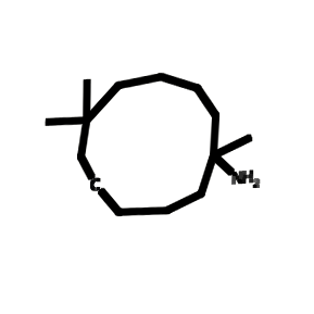 CC1(C)CCCCCC(C)(N)CCCC1